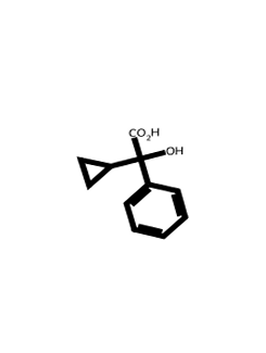 O=C(O)C(O)(c1ccccc1)C1CC1